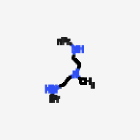 CCCNCCN(C)CCNC(C)C